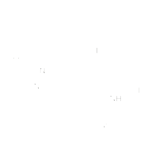 CC1Cc2c(ccc3c2cnn3C2CCCCO2)C(c2c(F)cc(I)cc2F)N1